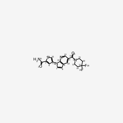 NC(=O)c1cc(-n2ccc3cc(C(=O)N4CCC(F)(F)CC4)cnc32)cs1